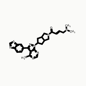 CN(C)CC=CC(=O)N1CC2CC(n3nc(-c4ccc5ncsc5c4)c4c(N)ncnc43)CC2C1